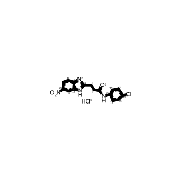 Cl.O=C(CCc1nc2ccc([N+](=O)[O-])cc2[nH]1)Nc1ccc(Cl)cc1